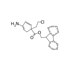 NC1=CCC(CCCl)(C(=O)OCC2c3ccccc3-c3ccccc32)C=C1